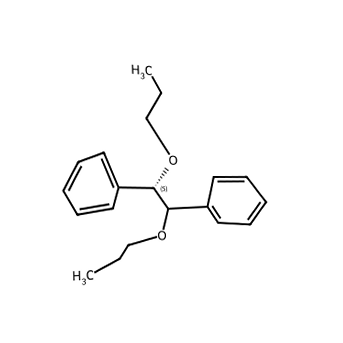 CCCOC(c1ccccc1)[C@@H](OCCC)c1ccccc1